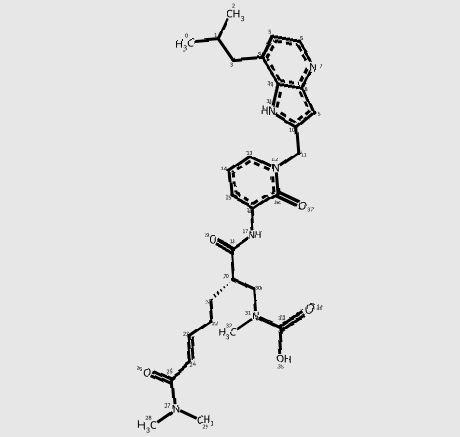 CC(C)Cc1ccnc2cc(Cn3cccc(NC(=O)[C@@H](CC/C=C/C(=O)N(C)C)CN(C)C(=O)O)c3=O)[nH]c12